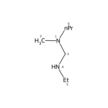 CCCN(C)CNCC